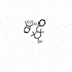 CC1(C)CC(O)CC(C)(C)N1Cc1ccccc1.O=C(O)C1C2C=CC(C2)C1C(=O)O